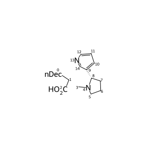 CCCCCCCCCCCC(=O)O.CN1CCC[C@H]1c1cccnc1